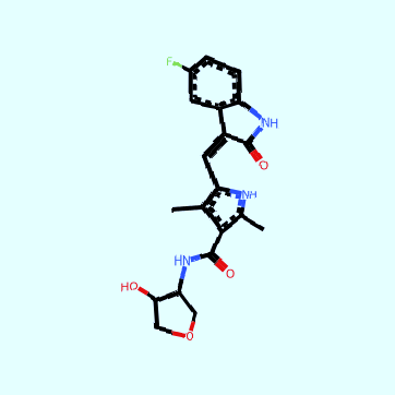 Cc1[nH]c(/C=C2\C(=O)Nc3ccc(F)cc32)c(C)c1C(=O)NC1COCC1O